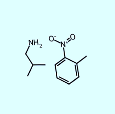 CC(C)CN.Cc1ccccc1[N+](=O)[O-]